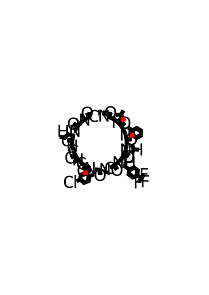 CC[C@H](C)[C@@H]1NC(=O)[C@H](C)N(C)C(=O)C[C@@H](C)N(C)C(=O)[C@H](CC(C)C)N(C)C(=O)[C@H](Cc2ccccc2)N(C)C(=O)[C@H](CC(C)C)NC(=O)[C@H](CCc2ccc(C(F)(F)F)cc2)NC(=O)CN(C)C(=O)[C@H](Cc2ccc(Cl)cc2)N(C)C(=O)CN(C)C(=O)CN(C)C1=O